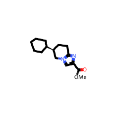 COC(=O)c1cn2c(n1)CC[C@H](C1CCCCC1)C2